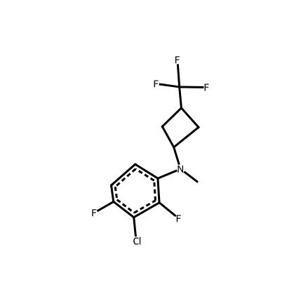 CN(c1ccc(F)c(Cl)c1F)C1CC(C(F)(F)F)C1